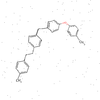 Cc1ccc(CCc2ccc(Cc3ccc(Oc4ccc(C)cc4)cc3)cc2)cc1